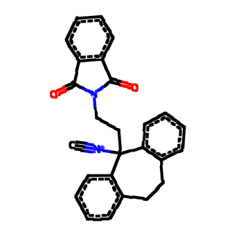 [C-]#[N+]C1(CCN2C(=O)c3ccccc3C2=O)c2ccccc2CCc2ccccc21